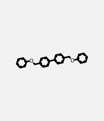 c1ccc(OCc2ccc(-c3ccc(COc4ccccc4)cc3)cc2)cc1